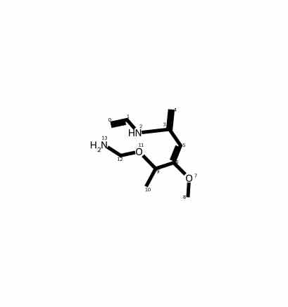 C=CNC(=C)/C=C(/OC)C(C)OCN